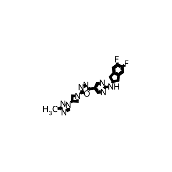 Cc1ncn(C2CN(c3nnc(-c4cnc(NC5Cc6cc(F)c(F)cc6C5)nc4)o3)C2)n1